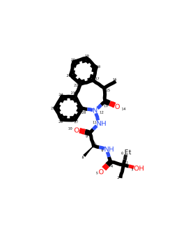 CCC(C)(O)C(=O)N[C@@H](C)C(=O)NN1C(=O)C(C)c2ccccc2-c2ccccc21